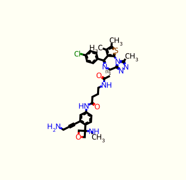 CNC1(c2ccc(NC(=O)CCCNC(=O)C[C@@H]3N=C(c4ccc(Cl)cc4)c4c(sc(C)c4C)-n4c(C)nnc43)cc2C#CCN)COC1